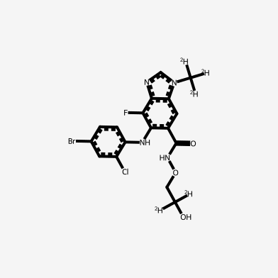 [2H]C([2H])(O)CONC(=O)c1cc2c(ncn2C([2H])([2H])[2H])c(F)c1Nc1ccc(Br)cc1Cl